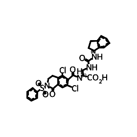 O=C(NC[C@H](NC(=O)c1c(Cl)cc2c(c1Cl)CCN(S(=O)(=O)c1ccccc1)C2=O)C(=O)O)N[C@@H]1CCc2ccccc21